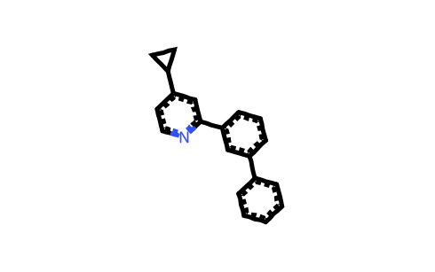 c1ccc(-c2cccc(-c3cc(C4CC4)ccn3)c2)cc1